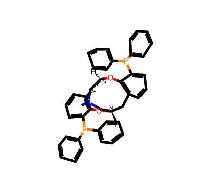 CN1C[C@@H]2Cc3cccc(P(c4ccccc4)c4ccccc4)c3O[C@@H](Cc3cccc(P(c4ccccc4)c4ccccc4)c3O2)C1